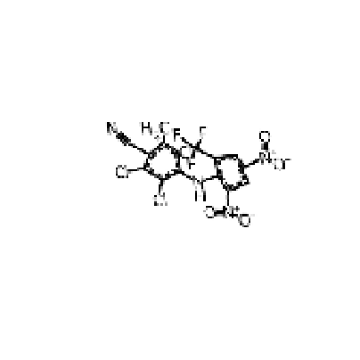 Cc1c(Cl)c(Nc2c([N+](=O)[O-])cc([N+](=O)[O-])cc2C(F)(F)F)c(Cl)c(Cl)c1C#N